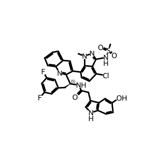 Cn1nc(NS(C)(=O)=O)c2c(Cl)ccc(-c3cc4ccccc4nc3[C@H](Cc3cc(F)cc(F)c3)NC(=O)Cc3c[nH]c4ccc(O)cc34)c21